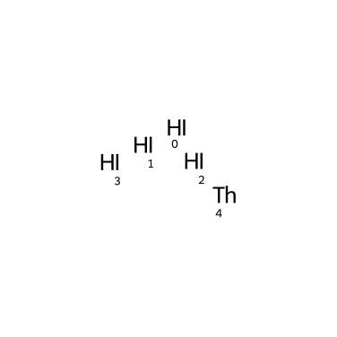 I.I.I.I.[Th]